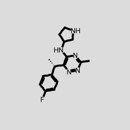 Cc1nnc([C@@H](C)c2ccc(F)cc2)c(NC2CCNC2)n1